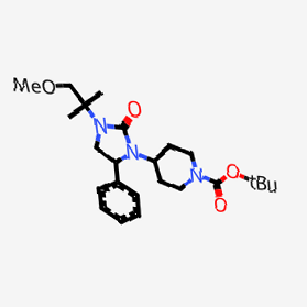 COCC(C)(C)N1CC(c2ccccc2)N(C2CCN(C(=O)OC(C)(C)C)CC2)C1=O